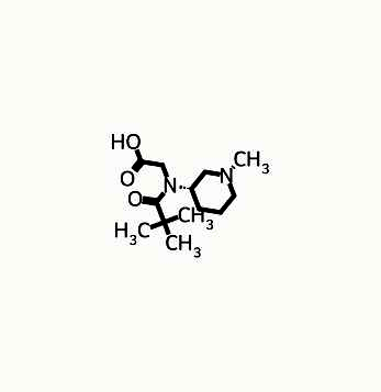 CN1CCC[C@H](N(CC(=O)O)C(=O)C(C)(C)C)C1